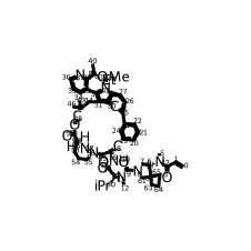 C=CC(=O)N(C)[C@H]1CN(C(=O)N(C)[C@H](C(=O)NC2Cc3cccc(c3)-c3ccc4c(c3)c(c(-c3cccnc3[C@H](C)OC)n4CC)CC(C)(C)COC(=O)[C@@H]3CCCN(N3)C2=O)C(C)C)CC12CCC2